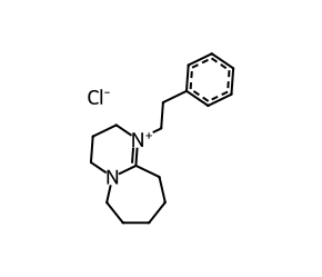 [Cl-].c1ccc(CC[N+]2=C3CCCCCN3CCC2)cc1